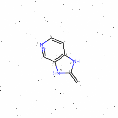 C=C1Nc2ccncc2N1